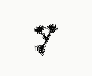 O=Cc1ccccc1C(=O)c1cc(OCCCCCOc2cc(OCCCCCOc3cc(O)c(O)c4c3C(=O)c3ccccc3C4=O)cc(OCCCCCOc3cc(O)c(O)c4c3C(=O)c3ccccc3C4=O)c2)cc(O)c1O